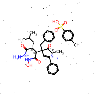 CC(C)C[C@@H](C(=O)NN)[C@H](C(=O)NO)C(/C=C/c1ccccc1)(Cc1ccccc1)C(=O)[C@@H](C)N.Cc1ccc(S(=O)(=O)O)cc1